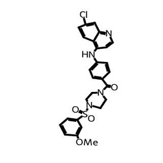 COc1cccc(S(=O)(=O)N2CCN(C(=O)c3ccc(Nc4ccnc5cc(Cl)ccc45)cc3)CC2)c1